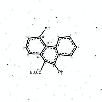 CCOC(=O)c1c(O)c2ccccc2c2c(F)cccc12